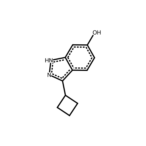 Oc1ccc2c(C3CCC3)n[nH]c2c1